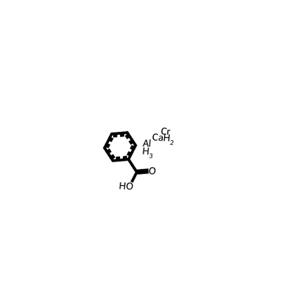 O=C(O)c1ccccc1.[AlH3].[CaH2].[Cr]